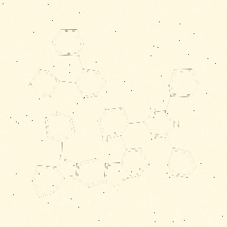 c1ccc(-c2nc(-c3ccccc3)nc(-c3cc(-c4ccc(-c5ccccc5)c(-c5ccccc5)c4)cnc3-c3cccc4sc5cc6c7ccccc7n(-c7ccccc7)c6cc5c34)n2)cc1